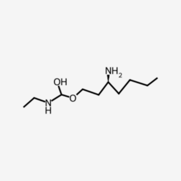 CCCC[C@H](N)CCOC(O)NCC